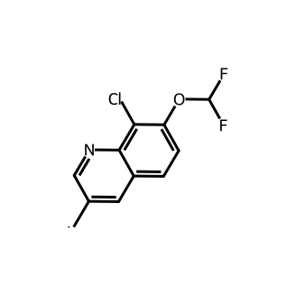 [CH2]c1cnc2c(Cl)c(OC(F)F)ccc2c1